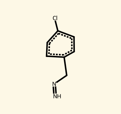 N=NCc1ccc(Cl)cc1